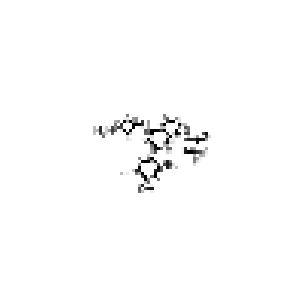 CCc1cc(O)c(F)cc1-c1cc(OC2CC(N)C2)c2cn[nH]c2c1.O=C(O)C(F)(F)F